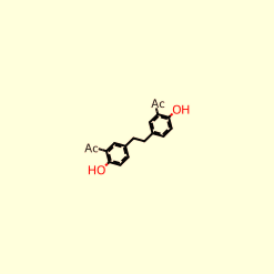 CC(=O)c1cc(CCc2ccc(O)c(C(C)=O)c2)ccc1O